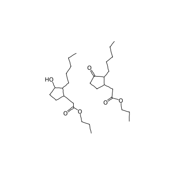 CCCCCC1C(=O)CCC1CC(=O)OCCC.CCCCCC1C(O)CCC1CC(=O)OCCC